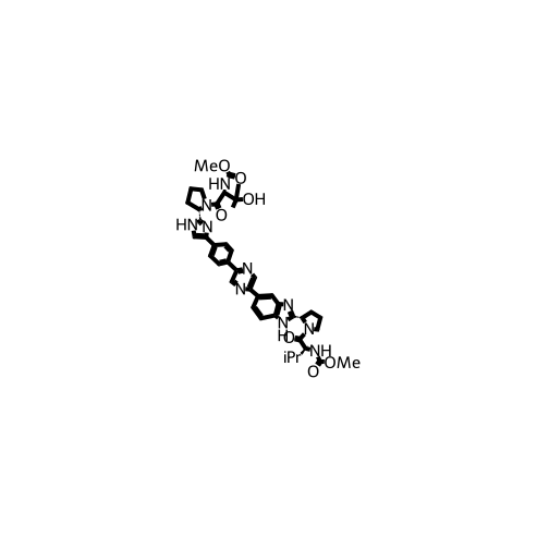 COC(=O)N[C@H](C(=O)N1CCC[C@H]1c1nc2cc(-c3cnc(-c4ccc(-c5c[nH]c([C@@H]6CCCN6C(=O)[C@@H](NC(=O)OC)C(C)(C)O)n5)cc4)cn3)ccc2[nH]1)C(C)C